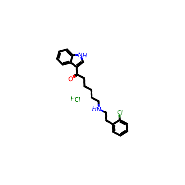 Cl.O=C(CCCCCNCCc1ccccc1Cl)c1c[nH]c2ccccc12